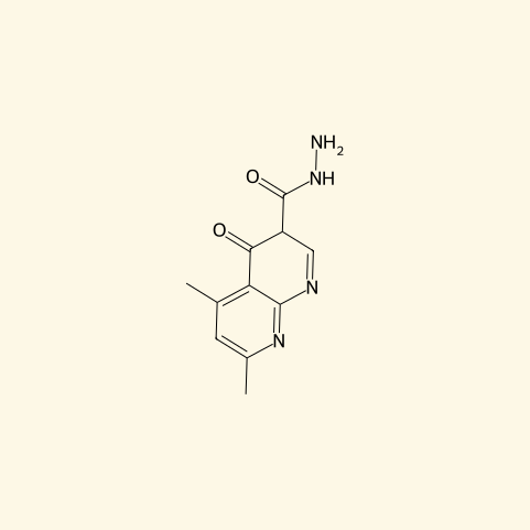 Cc1cc(C)c2c(n1)N=CC(C(=O)NN)C2=O